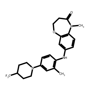 Cc1cc(N2CCC(C(F)(F)F)CC2)ccc1Nc1ccc2c(c1)OCCC(=O)N2C